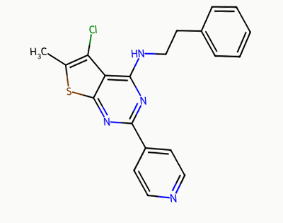 Cc1sc2nc(-c3ccncc3)nc(NCCc3ccccc3)c2c1Cl